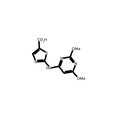 COc1cc(Nc2ncc(C(=O)O)s2)nc(OC)n1